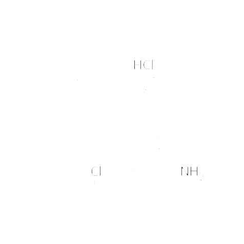 Cc1cccc(C(C)(C)N)c1Cl.Cl